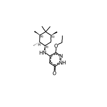 CCOc1n[nH]c(=O)cc1N[C@@H]1C[C@H](C)C(C)(C)[C@H](C)[C@H]1C